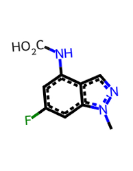 Cn1ncc2c(NC(=O)O)cc(F)cc21